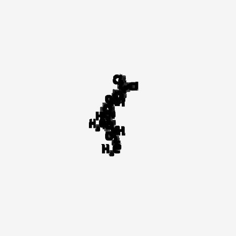 CSCCC(=O)Nc1cc(-c2nc3cc(C(=O)Nc4ccc(N(CCCl)CCCl)cc4)ccc3[nH]2)n(C)c1